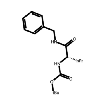 CCC[C@H](NC(=O)OC(C)(C)C)C(=O)NCc1ccccc1